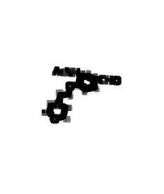 CC(=O)Nc1cc(C=O)ccc1OCCN1CCOCC1